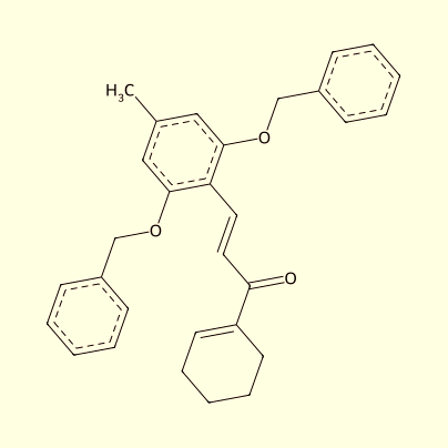 Cc1cc(OCc2ccccc2)c(C=CC(=O)C2=CCCCC2)c(OCc2ccccc2)c1